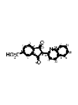 O=C(O)c1ccc2c(c1)C(=O)C(c1ccc3ccccc3n1)C2=O